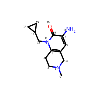 CN1CCc2c(cc(N)c(=O)n2CC2CC2)C1